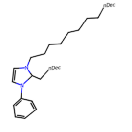 CCCCCCCCCCCCCCCCCCN1C=CN(c2ccccc2)C1CCCCCCCCCCC